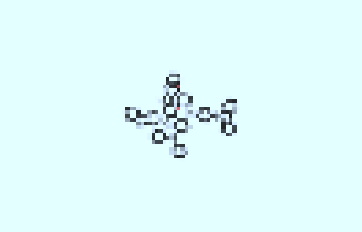 c1ccc(-c2ccc(N(c3ccc(-n4c5ccccc5c5ccccc54)cc3)c3ccc4c(c3)[Si](c3ccc5c(c3)oc3ccccc35)(c3ccc5c(c3)oc3ccccc35)c3ccccc3N4c3ccccc3)cc2)cc1